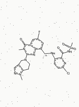 C[C@@H](Nc1ccc(Cl)nc1C(=O)NS(C)(=O)=O)c1cc(F)cc2c(=O)n(C)c(N3CCc4c(cnn4C)C3)nc12